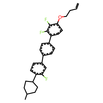 C=CCCOc1ccc(-c2ccc(-c3ccc(C4CCC(C)CC4)c(F)c3)cc2)c(F)c1F